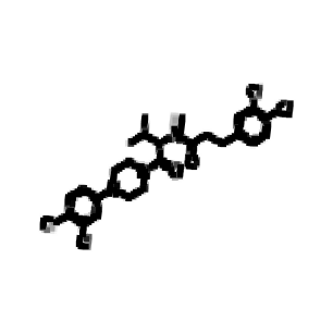 CC(C)[C@@H](NC(=O)CCc1ccc(Cl)c(Cl)c1)C(=O)N1CCN(c2ccc(Cl)c(Cl)c2)CC1